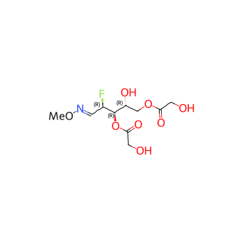 CON=C[C@@H](F)[C@H](OC(=O)CO)[C@H](O)COC(=O)CO